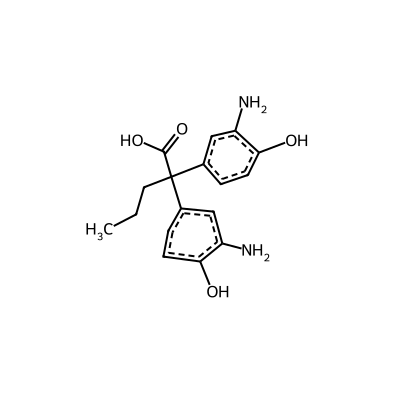 CCCC(C(=O)O)(c1ccc(O)c(N)c1)c1ccc(O)c(N)c1